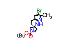 Cc1nc2c(cc1Br)CC[C@]1(CCN(C(=O)OC(C)(C)C)C1)N2